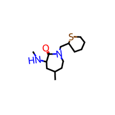 CNC1CC(C)CCN(CC2CCCCS2)C1=O